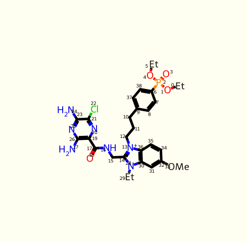 CCOP(=O)(OCC)c1ccc(CCC[n+]2c(CNC(=O)c3nc(Cl)c(N)nc3N)n(CC)c3cc(OC)ccc32)cc1